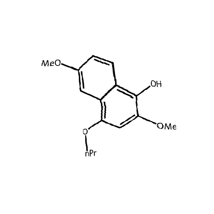 CCCOc1cc(OC)c(O)c2ccc(OC)cc12